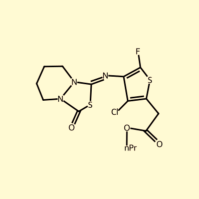 CCCOC(=O)Cc1sc(F)c(N=c2sc(=O)n3n2CCCC3)c1Cl